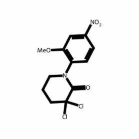 COc1cc([N+](=O)[O-])ccc1N1CCCC(Cl)(Cl)C1=O